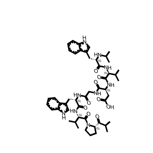 CC(C)N[C@@H](Cc1c[nH]c2ccccc12)C(=O)N[C@H](C(=O)N[C@@H](CC(=O)O)C(=O)NCC(=O)N[C@@H](Cc1c[nH]c2ccccc12)C(=O)N[C@H](C(=O)N1CCC[C@H]1C(=O)C(C)C)C(C)C)C(C)C